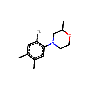 Cc1cc(C#N)c(N2CCOC(C)C2)cc1C